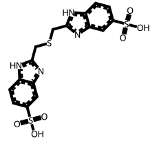 O=S(=O)(O)c1ccc2[nH]c(CSCc3nc4cc(S(=O)(=O)O)ccc4[nH]3)nc2c1